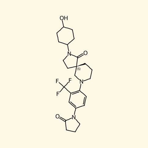 O=C1CCCN1c1ccc(N2CCC[C@]3(CCN(C4CCC(O)CC4)C3=O)C2)c(C(F)(F)F)c1